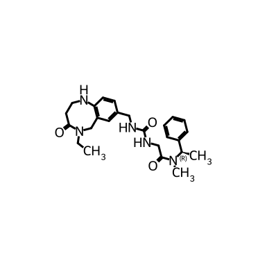 CCN1Cc2cc(CNC(=O)NCC(=O)N(C)[C@H](C)c3ccccc3)ccc2NCCC1=O